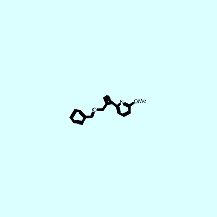 COc1cccc(C2C3CC2(COCc2ccccc2)C3)n1